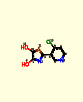 Oc1nc(-c2cnccc2Cl)sc1O